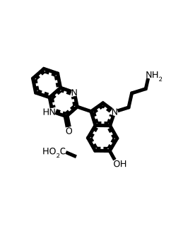 CC(=O)O.NCCCn1cc(-c2nc3ccccc3[nH]c2=O)c2ccc(O)cc21